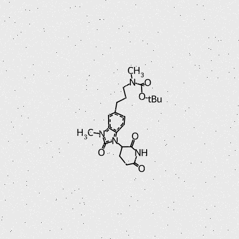 CN(CCCc1ccc2c(c1)n(C)c(=O)n2C1CCC(=O)NC1=O)C(=O)OC(C)(C)C